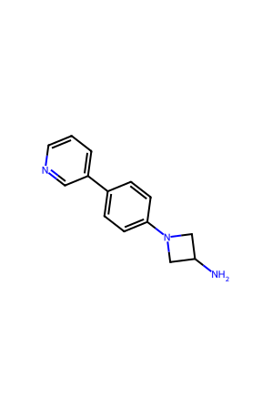 NC1CN(c2ccc(-c3cccnc3)cc2)C1